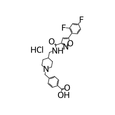 Cl.O=C(O)c1ccc(CN2CCC(CNC(=O)c3cc(-c4ccc(F)cc4F)on3)CC2)cc1